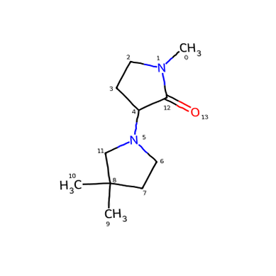 CN1CCC(N2CCC(C)(C)C2)C1=O